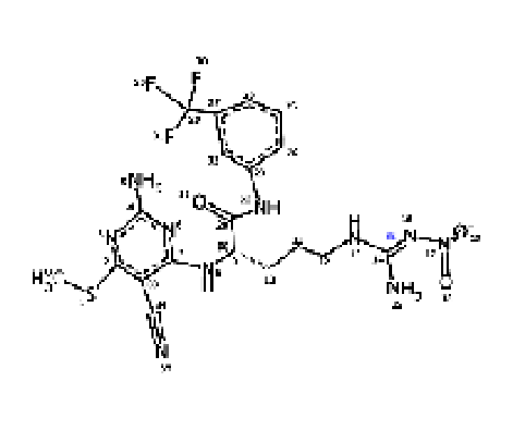 CSc1nc(N)nc(N[C@@H](CCCN/C(N)=N/[N+](=O)[O-])C(=O)Nc2cccc(C(F)(F)F)c2)c1C#N